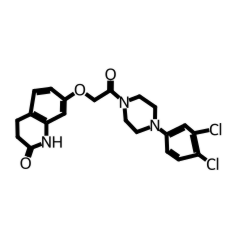 O=C1CCc2ccc(OCC(=O)N3CCN(c4ccc(Cl)c(Cl)c4)CC3)cc2N1